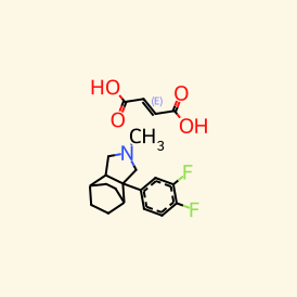 CN1CC2C3CCC(CC3)C2(c2ccc(F)c(F)c2)C1.O=C(O)/C=C/C(=O)O